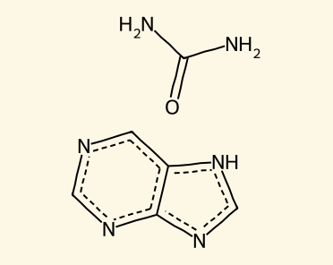 NC(N)=O.c1ncc2[nH]cnc2n1